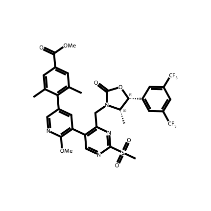 COC(=O)c1cc(C)c(-c2cnc(OC)c(-c3cnc(S(C)(=O)=O)nc3CN3C(=O)O[C@H](c4cc(C(F)(F)F)cc(C(F)(F)F)c4)[C@@H]3C)c2)c(C)c1